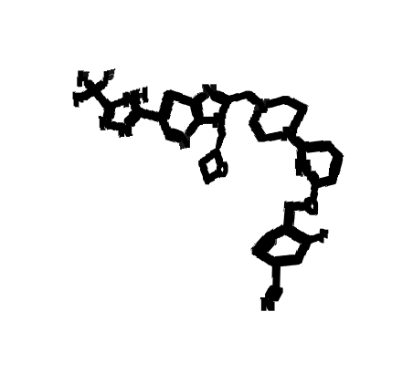 N#Cc1ccc(COc2cccc(N3CCN(Cc4nc5cc(-c6nnc(C(F)(F)F)[nH]6)cnc5n4C[C@@H]4CCO4)CC3)n2)c(F)c1